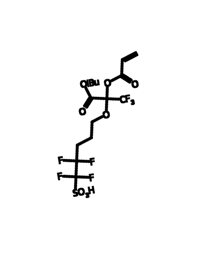 C=CC(=O)OC(OCCCC(F)(F)C(F)(F)S(=O)(=O)O)(C(=O)OCC(C)C)C(F)(F)F